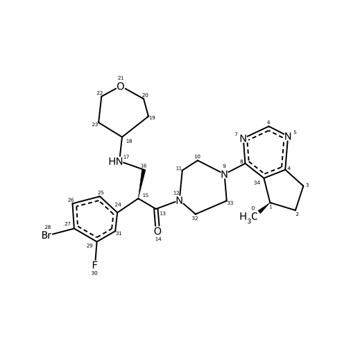 C[C@@H]1CCc2ncnc(N3CCN(C(=O)[C@H](CNC4CCOCC4)c4ccc(Br)c(F)c4)CC3)c21